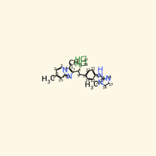 Cc1ccn2c(C)c(CCc3ccc(NC4=NCCN4C)cc3)nc2c1.Cl.Cl